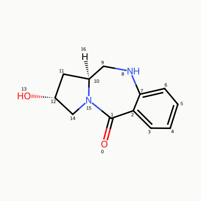 O=C1c2ccccc2NC[C@@H]2C[C@@H](O)CN12